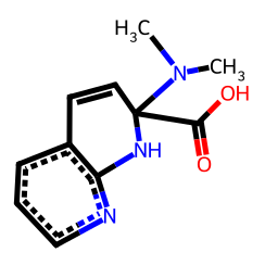 CN(C)C1(C(=O)O)C=Cc2cccnc2N1